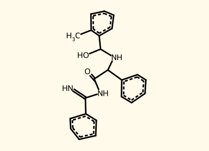 Cc1ccccc1C(O)NC(C(=O)NC(=N)c1ccccc1)c1ccccc1